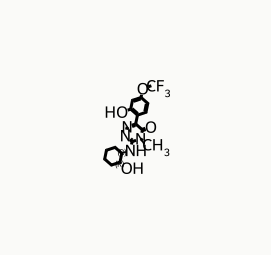 Cn1c(N[C@@H]2CCCC[C@H]2O)nnc(-c2ccc(OC(F)(F)F)cc2O)c1=O